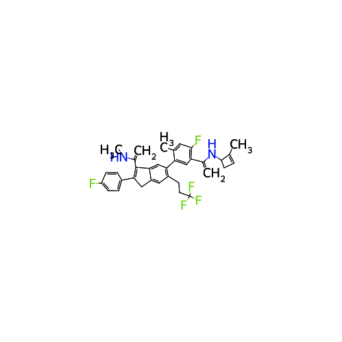 C=C(NC)C1=C(c2ccc(F)cc2)Cc2cc(CCC(F)(F)F)c(-c3cc(C(=C)NC4CC=C4C)c(F)cc3C)cc21